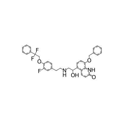 O=c1ccc2c(C(O)CNCCc3ccc(OCC(F)(F)c4ccccc4)c(F)c3)ccc(OCc3ccccc3)c2[nH]1